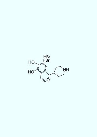 Br.Br.Oc1ccc2c(c1O)C=COC2C1CCNCC1